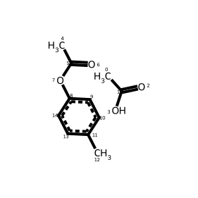 CC(=O)O.CC(=O)Oc1ccc(C)cc1